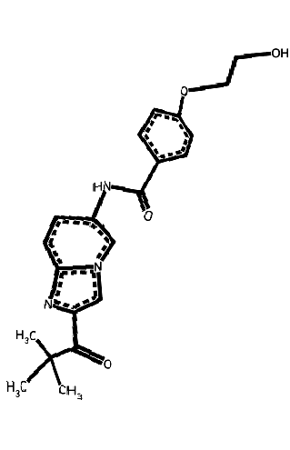 CC(C)(C)C(=O)c1cn2cc(NC(=O)c3ccc(OCCO)cc3)ccc2n1